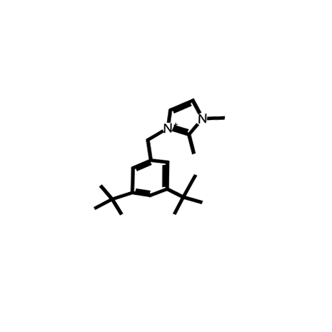 Cc1n(C)cc[n+]1Cc1cc(C(C)(C)C)cc(C(C)(C)C)c1